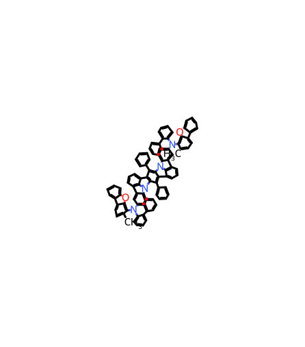 Cc1ccc2c(oc3ccccc32)c1N(c1ccc2c(c1)c1cccc3c4c(-c5ccccc5)c5c(c(-c6ccccc6)c4n2c13)c1cccc2c3cc(N(c4ccccc4-c4ccccc4)c4c(C)ccc6c4oc4ccccc46)ccc3n5c21)c1ccccc1-c1ccccc1